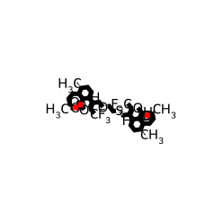 C[C@@H]1CC[C@H]2C(COCCSCC3=C(C(F)(F)F)O[C@@H]4O[C@]5(C)CCC6[C@H](C)CC[C@@H]3[C@]64OO5)=C(C(F)(F)F)O[C@@H]3O[C@]4(C)CCC1[C@]32OO4